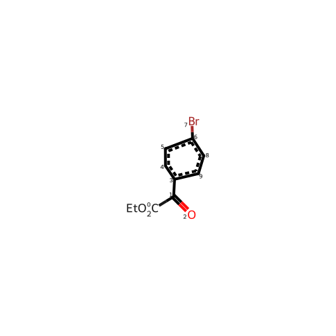 CCOC(=O)C(=O)c1ccc(Br)cc1